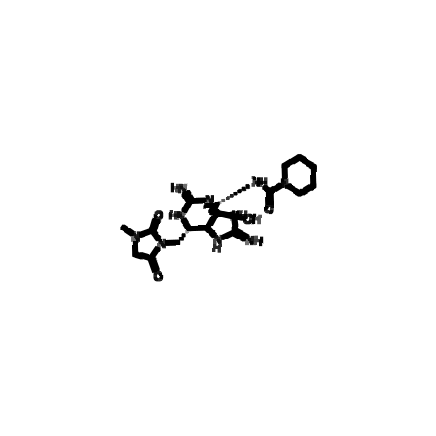 CN1CC(=O)N(C[C@@H]2NC(=N)N3C[C@H](NC(=O)N4CCCCC4)C(O)C34NC(=N)NC24)C1=O